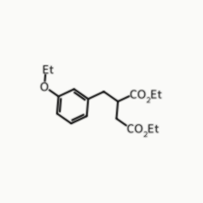 CCOC(=O)CC(Cc1cccc(OCC)c1)C(=O)OCC